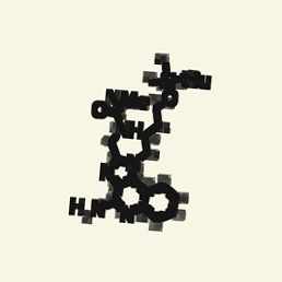 CNC(=O)NCc1nc2c(N)nc3ccccc3c2n1CCCCO[Si](C)(C)C(C)(C)C